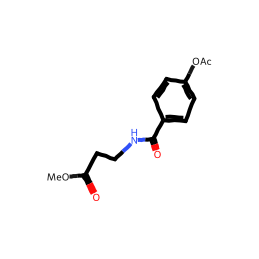 COC(=O)CCNC(=O)c1ccc(OC(C)=O)cc1